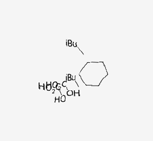 C1CCCCC1.CCC(C)C.CCC(C)C.O=C(O)O.O=C(O)O